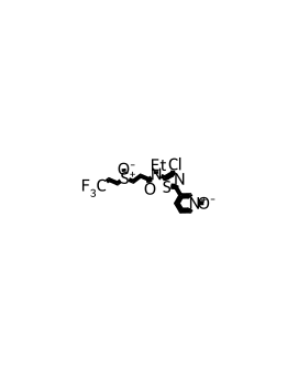 CCN(C(=O)CC[S+]([O-])CCC(F)(F)F)c1sc(-c2ccc[n+]([O-])c2)nc1Cl